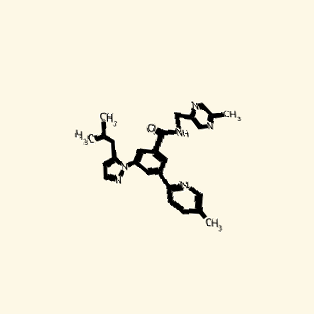 Cc1ccc(-c2cc(C(=O)NCc3cnc(C)cn3)cc(-n3nccc3CC(C)C)c2)nc1